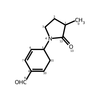 CC1CCN(C2C=CC(C=O)=CC2)C1=O